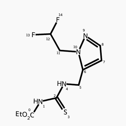 CCOC(=O)NC(=S)NCc1ccnn1CC(F)F